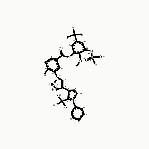 COc1c(NC(=O)c2ccc(C)c(N3C=C(c4cnn(-c5ccccc5)c4C(F)(F)F)NN3)c2)cc(C(C)(C)C)cc1NS(C)(=O)=O